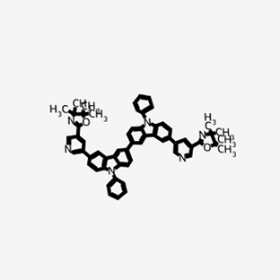 CC1(C)N=C(c2cncc(-c3ccc4c(c3)c3cc(-c5ccc6c(c5)c5cc(-c7cncc(C8=NC(C)(C)C(C)(C)O8)c7)ccc5n6-c5ccccc5)ccc3n4-c3ccccc3)c2)OC1(C)C